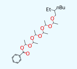 CCCCC(CC)COC(C)OC(C)OC(C)OC(C)OC(C)OC(C)OC(=O)c1ccccc1